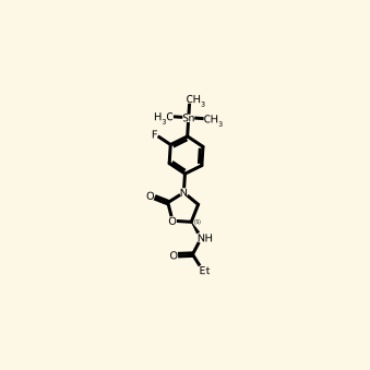 CCC(=O)N[C@@H]1CN(c2cc[c]([Sn]([CH3])([CH3])[CH3])c(F)c2)C(=O)O1